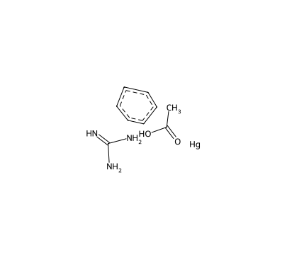 CC(=O)O.N=C(N)N.[Hg].c1ccccc1